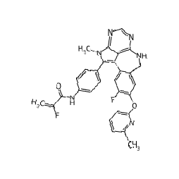 C=C(F)C(=O)Nc1ccc(-c2c3c4c(ncnc4n2C)NCc2cc(Oc4cccc(C)n4)c(F)cc2-3)cc1